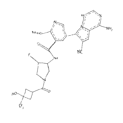 COc1ncc(-c2c(C#N)cc3c(N)ncnn23)cc1C(=O)NC1CN(C(=O)C2CC(O)(C(F)(F)F)C2)CC1F